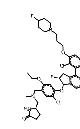 CCOc1cc(O[C@@H]2c3cccc(-c4cccc(OCCCN5CCC(F)CC5)c4Cl)c3C[C@@H]2F)c(Cl)cc1CN(C)C[C@H]1CCC(=O)N1